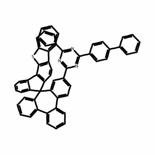 c1ccc(-c2ccc(-c3nc(-c4ccccc4)nc(-c4ccc5c(c4)C4(c6ccccc6-c6ccccc6-5)c5ccccc5-c5c4ccc4c5sc5ccccc54)n3)cc2)cc1